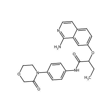 CCC(Oc1ccc2ccnc(N)c2c1)C(=O)Nc1ccc(N2CCOCC2=O)cc1